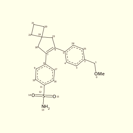 COCc1ccc(C2=C(c3ccc(S(N)(=O)=O)cc3)CC3(CCC3)C2)cc1